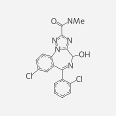 CNC(=O)c1nc2n(n1)-c1ccc(Cl)cc1C(c1ccccc1Cl)=NC2O